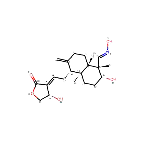 C=C1CC[C@@H]2[C@](C)(/C=N/O)[C@H](O)CC[C@@]2(C)[C@@H]1C/C=C1/C(=O)OC[C@H]1O